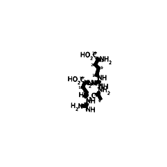 CC(N)C(=O)O.N=C(N)NCCCC(N)C(=O)O.N=C(N)NCCCC(N)C(=O)O